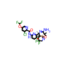 CC1(C)C(N)=N[C@](C)(c2nc(NC(=O)c3ncc(OC(F)F)cc3Cl)ccc2F)[C@H]2CC(F)(F)CN=[S@@]21=O